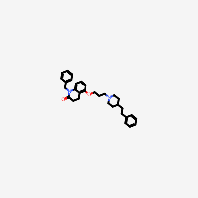 O=C1CCc2c(OCCCN3CCC(CCc4ccccc4)CC3)cccc2N1Cc1ccccc1